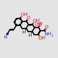 N#C/C=C/c1ccc(O)c2c1C[C@H]1C[C@H]3CC(O)=C(C(N)=O)C(=O)[C@@]3(O)C(O)=C1C2=O